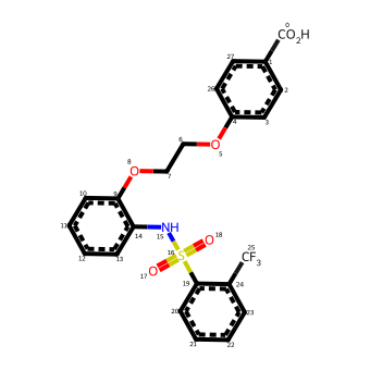 O=C(O)c1ccc(OCCOc2ccccc2NS(=O)(=O)c2ccccc2C(F)(F)F)cc1